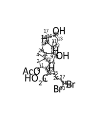 CC(=O)O[C@H]1C[C@@]2(C)[C@@H](C[C@@H](O)[C@H]3[C@@]4(C)CC[C@@H](O)[C@@H](C)[C@@H]4CC[C@@]32C)C1=C(CCC=C(Br)Br)C(=O)O